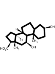 C[C@]12CC[C@H](O)CC1CC[C@@H]1C2[C@@H](O)C[C@]2(C)[C@@H](C(=O)O)CC[C@@H]12